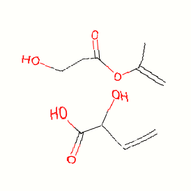 C=C(C)OC(=O)CO.C=CC(O)C(=O)O